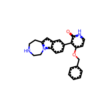 O=c1[nH]ccc(OCc2ccccc2)c1-c1ccc2c(c1)cc1n2CCNCC1